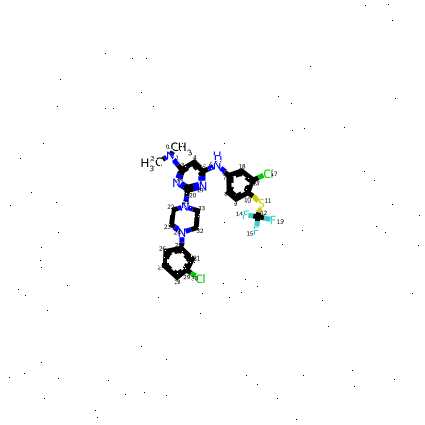 CN(C)c1cc(Nc2ccc(SC(F)(F)F)c(Cl)c2)nc(N2CCN(c3cccc(Cl)c3)CC2)n1